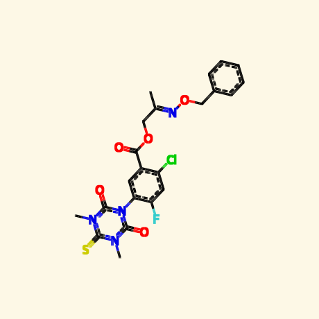 CC(COC(=O)c1cc(-n2c(=O)n(C)c(=S)n(C)c2=O)c(F)cc1Cl)=NOCc1ccccc1